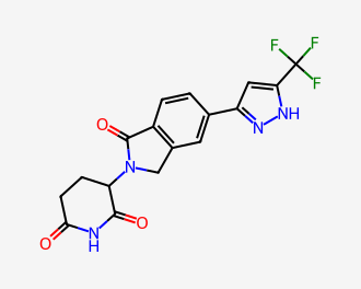 O=C1CCC(N2Cc3cc(-c4cc(C(F)(F)F)[nH]n4)ccc3C2=O)C(=O)N1